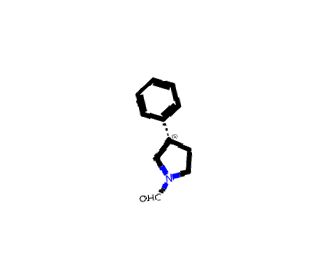 O=CN1CC[C@@H](c2ccccc2)C1